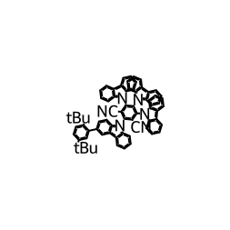 CC(C)(C)c1ccc(C(C)(C)C)c(-c2ccc3c(c2)c2ccccc2n3-c2c(C#N)c(-n3c4ccccc4c4ccccc43)c(-n3c4ccccc4c4ccccc43)c(-n3c4ccccc4c4ccccc43)c2C#N)c1